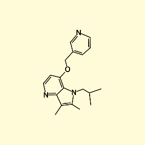 Cc1c(C)n(CC(C)C)c2c(OCc3cccnc3)ccnc12